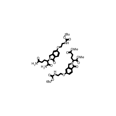 CC(C)(C)OC(=O)NCCOc1ccc2c(c1)CN(C(CCC(N)=O)C(N)=O)C2=O.COC(=O)CCC(C(=O)OC)N1Cc2cc(OCCNC(=O)OC(C)(C)C)ccc2C1=O